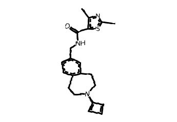 Cc1nc(C)c(C(=O)NCc2ccc3c(c2)CCN(C2=CC=C2)CC3)s1